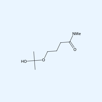 CNC(=O)CCCOC(C)(C)O